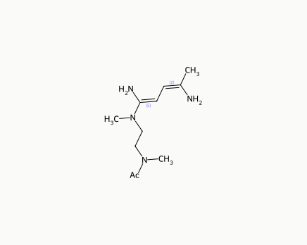 CC(=O)N(C)CCN(C)/C(N)=C/C=C(/C)N